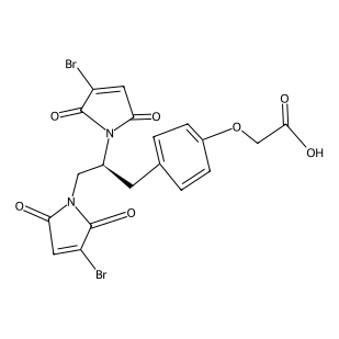 O=C(O)COc1ccc(C[C@@H](CN2C(=O)C=C(Br)C2=O)N2C(=O)C=C(Br)C2=O)cc1